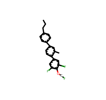 CCCc1ccc(-c2ccc(-c3cc(F)c(OCF)c(F)c3)c(C)c2)cc1